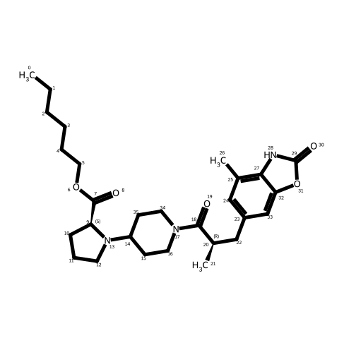 CCCCCCOC(=O)[C@@H]1CCCN1C1CCN(C(=O)[C@H](C)Cc2cc(C)c3[nH]c(=O)oc3c2)CC1